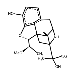 CO[C@H](C)[C@@H]1Oc2c(O)ccc3c2C12CCNC(C3)C21CC(C(C)(O)C(C)(C)C)C1